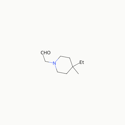 CCC1(C)CCN(CC=O)CC1